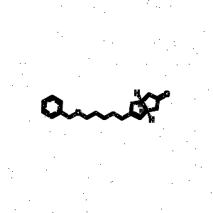 O=C1C[C@@H]2CC(CCCCCOCc3ccccc3)=C[C@@H]2C1